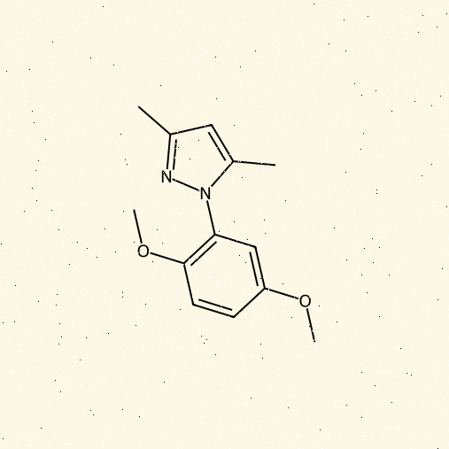 COc1ccc(OC)c(-n2nc(C)cc2C)c1